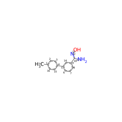 Cc1ccc(-c2cccc(C(N)=NO)c2)cc1